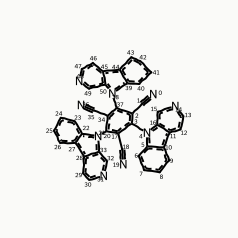 N#Cc1c(-n2c3ccccc3c3ccncc32)c(C#N)c(-n2c3ccccc3c3ccncc32)c(C#N)c1-n1c2ccccc2c2ccncc21